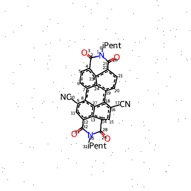 CCCC(C)N1C(=O)c2ccc3c4c(C#N)cc5c6c(cc(C#N)c(c7ccc(c2c37)C1=O)c64)C(=O)N(C(C)CCC)C5=O